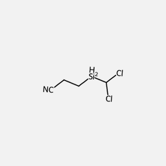 N#CCC[SiH2]C(Cl)Cl